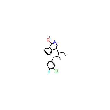 CC[C](c1cnc(OC)c2ccccc12)C(C)Cc1ccc(F)c(Cl)c1